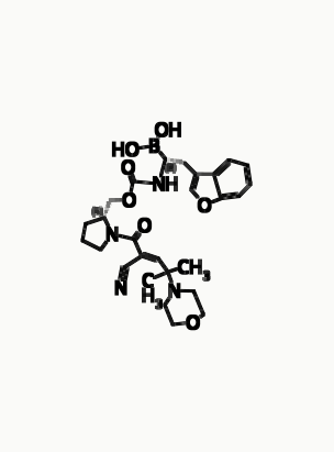 CC(C)(C=C(C#N)C(=O)N1CCC[C@@H]1COC(=O)N[C@@H](Cc1coc2ccccc12)B(O)O)N1CCOCC1